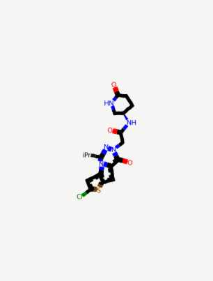 CC(C)c1nn(CC(=O)N[C@@H]2CCC(=O)NC2)c(=O)c2cc3sc(Cl)cc3n12